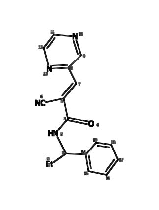 CCC(NC(=O)/C(C#N)=C/c1cnccn1)c1ccccc1